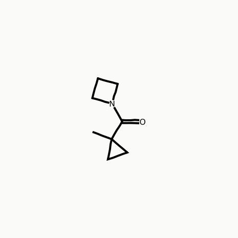 CC1(C(=O)N2CCC2)CC1